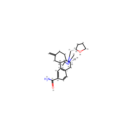 C=C1CCC2[C@H]3Cc4ccc(C(N)=O)cc4[C@@]2(CC[N+]3(C)C[C@@H]2CCCO2)C1